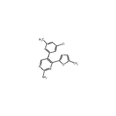 Cc1cc(Cl)cc(-c2cnc(N)nc2-c2ccc(C)o2)c1